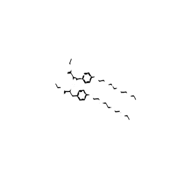 CCOCCOCCOCCOc1ccc(C2OC2C(=O)OCC)cc1.CCOCCOCCOCCOc1ccc(CC(O)C(=O)OCC)cc1